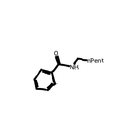 CCCCCCNC(=O)c1[c]cccc1